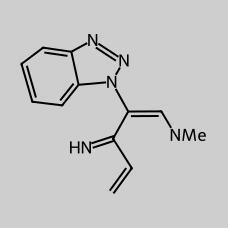 C=CC(=N)/C(=C\NC)n1nnc2ccccc21